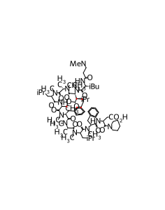 CC[C@H](C)C(NC(=O)CCNC)C(=O)N(C)[C@@H](CC(C)C)C(=O)N(C)[C@@H](C)C(=O)N(C)C(CC(C)C)C(=O)N[C@H](C(=O)N(C)[C@@H](Cc1ccccc1)C(=O)N(C)[C@@H](C)C(=O)N(C)C(CC(C)C)C(=O)N(C)C(Cc1ccccc1)C(=O)NC(CC(=O)O)C(=O)N1CCCCC1)[C@@H](C)OC1CCCCO1